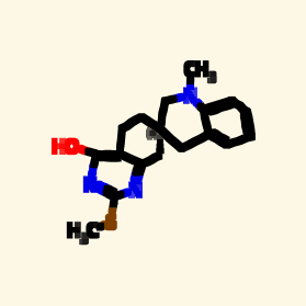 CSc1nc(O)c2c(n1)C[C@@]1(CC2)Cc2ccccc2N(C)C1